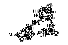 BP(C)C(=O)CNC(=O)C(CC(C)C)NC(=O)C(Cc1ccccc1)NC(=O)CNC(=O)CCC(NC(=O)CCC(NC(=O)CCC(=O)NCCCCC(NC(=O)CNC(=O)C(CC(C)C)NC(=O)C(Cc1ccccc1)NC(=O)CN)C(=O)NCCOCCOCC(=O)NC)C(=O)O)C(=O)NCC(=O)NC(Cc1ccccc1)C(=O)NC(CC(C)C)C(=O)NCC(=O)P(B)C